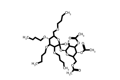 CCCCOCC1O[C@](C)(O[C@@H]2OC(COC(C)=O)[C@@H](OC(C)=O)C(OC(C)=O)C2F)C(OCCCC)C(OCCCC)[C@@H]1OCCCC